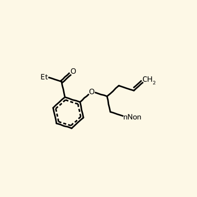 C=CCC(CCCCCCCCCC)Oc1ccccc1C(=O)CC